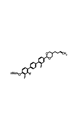 C=CCCC1COC(c2ccc(-c3ccc(-c4ccc(OCCCCCCCCC)c(F)c4F)cc3)c(F)c2)OC1